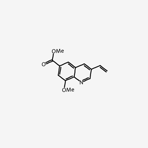 C=Cc1cnc2c(OC)cc(C(=O)OC)cc2c1